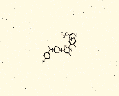 Cc1cc(N2CCN(C(C)c3ccc(F)cc3)CC2)nc(-c2cn3c(C(F)(F)F)cnc3cc2C)n1